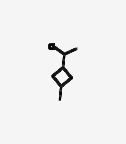 CC1CC(C(C)Cl)C1